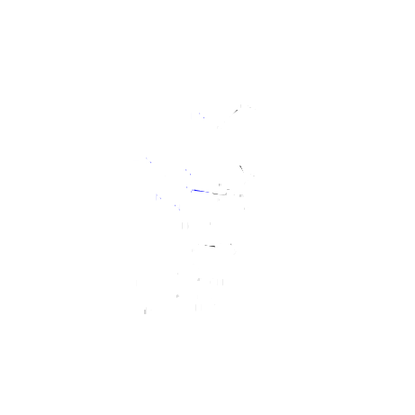 CCN[C@H](CO[C@H]1[C@H](n2nnc(N)n2)C[C@@]23COC[C@]1(C)[C@@H]2CC[C@H]1C3=CC[C@@]2(C)[C@H](C(=O)O)[C@@](C)([C@H](C)C(C)C)CC[C@]12C)C(C)(C)C